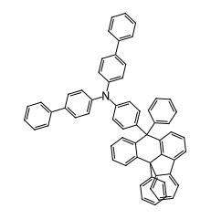 c1ccc(-c2ccc(N(c3ccc(-c4ccccc4)cc3)c3ccc(C4(c5ccccc5)c5ccccc5C5(c6ccccc6)c6ccccc6-c6cccc4c65)cc3)cc2)cc1